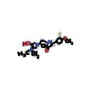 C=C(\C=C/C=N/C(=C\C=O)c1ccc(OC)c(F)c1)N1C[C@@H](O)[C@H](N(C)CC)C1